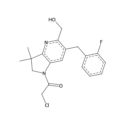 CC1(C)CN(C(=O)CCl)c2cc(Cc3ccccc3F)c(CO)nc21